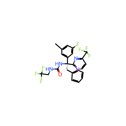 Cc1cc(F)cc([C@](Cc2ccccc2)(NC(=O)NCC(F)(F)F)c2nccc(C(F)(F)F)n2)c1